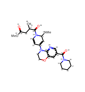 CNC1C=C(N2CCOc3cc(C(=O)N4CCCCC4)cnc32)C=CN1C(=O)C(C)CC(=O)OC